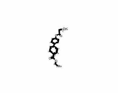 CCCCCCCCCCCC(=O)Oc1ccc(-c2ccc(C(=O)OCC(C)CC)cc2)cc1